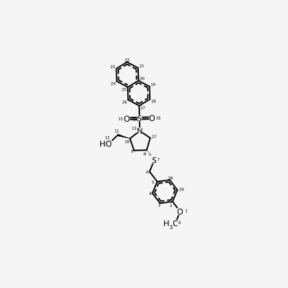 COc1ccc(CS[C@@H]2C[C@@H](CO)N(S(=O)(=O)c3ccc4ccccc4c3)C2)cc1